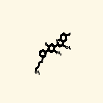 CCCCOc1cccc(-c2cc(P)c(-c3cc(C)c4cc(F)ccc4n3)cc2F)c1